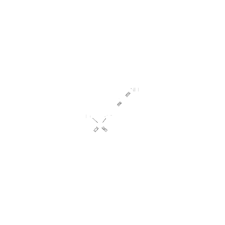 CCS(=O)(=O)O.N=C=O